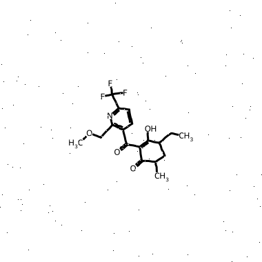 CCC1CC(C)C(=O)C(C(=O)c2ccc(C(F)(F)F)nc2COC)=C1O